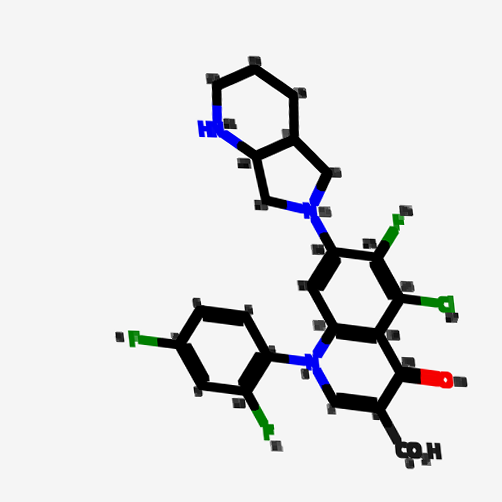 O=C(O)c1cn(-c2ccc(F)cc2F)c2cc(N3CC4CCCNC4C3)c(F)c(Cl)c2c1=O